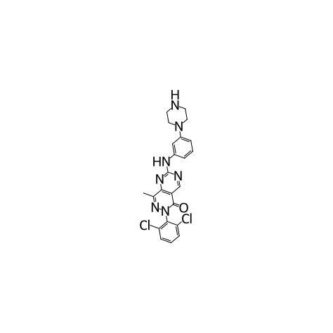 Cc1nn(-c2c(Cl)cccc2Cl)c(=O)c2cnc(Nc3cccc(N4CCNCC4)c3)nc12